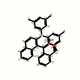 Cc1cc(C)cc(P(c2cc(C)cc(C)c2)c2ccc3ccccc3c2-c2c(O)ccc3ccccc23)c1